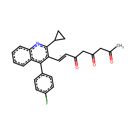 CC(=O)CC(=O)CC(=O)/C=C/c1c(C2CC2)nc2ccccc2c1-c1ccc(F)cc1